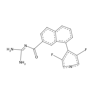 NC(N)=NC(=O)c1ccc2cccc(-c3c(F)cncc3F)c2c1